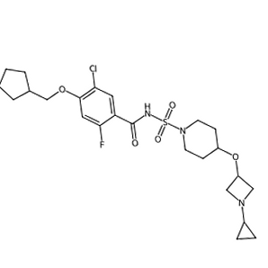 O=C(NS(=O)(=O)N1CCC(OC2CN(C3CC3)C2)CC1)c1cc(Cl)c(OCC2CCCC2)cc1F